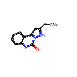 COCc1cc2c3ccccc3nc(=O)n2[nH]1